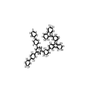 c1ccc(-c2ccc(-c3cc(-c4ccc(-c5ccccc5)cc4)nc(-c4cccc(-c5ccc6c(c5)c5ccccc5n6-c5cccc(-n6c7ccccc7c7ccccc76)c5)c4)n3)cc2)cc1